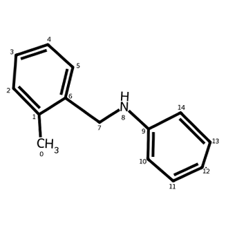 Cc1ccccc1CNc1cc[c]cc1